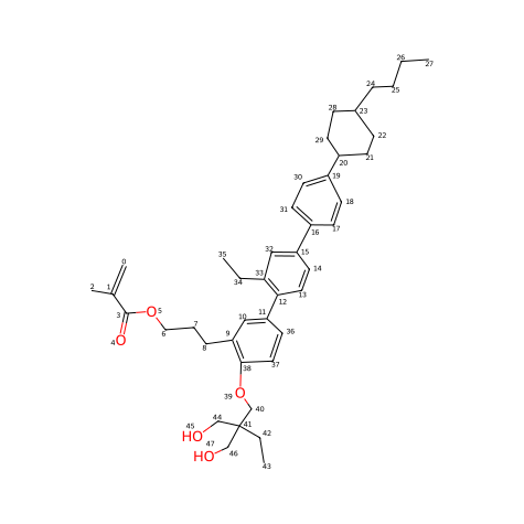 C=C(C)C(=O)OCCCc1cc(-c2ccc(-c3ccc(C4CCC(CCCC)CC4)cc3)cc2CC)ccc1OCC(CC)(CO)CO